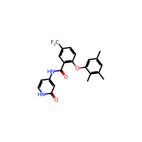 Cc1cc(C)c(C)c(Oc2ccc(C(F)(F)F)cc2C(=O)Nc2cc[nH]c(=O)c2)c1